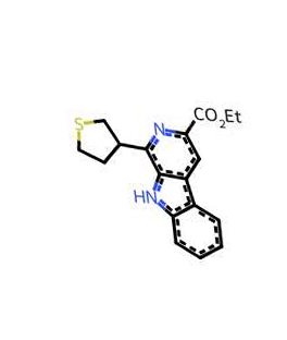 CCOC(=O)c1cc2c([nH]c3ccccc32)c(C2CCSC2)n1